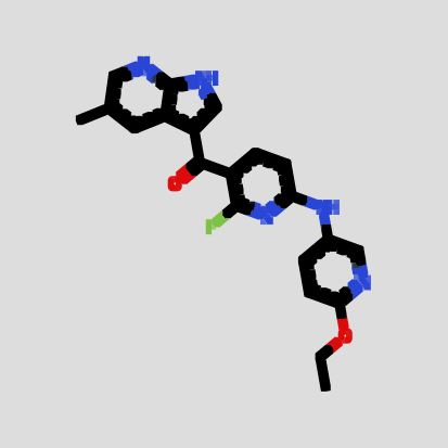 CCOc1ccc(Nc2ccc(C(=O)c3c[nH]c4ncc(C)cc34)c(F)n2)cn1